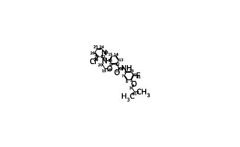 CC(C)COc1ccc(NC(=O)c2cccc3c2OCCN3c2ncccc2Cl)cc1F